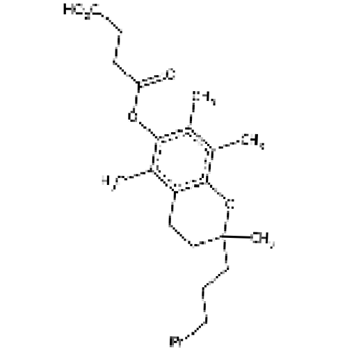 Cc1c(C)c2c(c(C)c1OC(=O)CCC(=O)O)CCC(C)(CCCC(C)C)O2